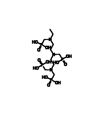 CCN(CCN(CCN(CP(=O)(O)O)CP(=O)(O)O)CP(=O)(O)O)CP(=O)(O)O